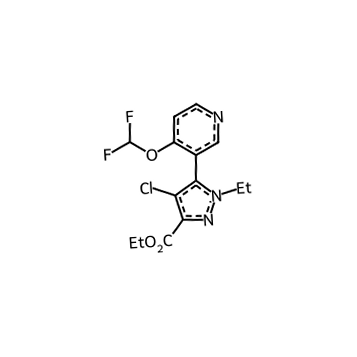 CCOC(=O)c1nn(CC)c(-c2cnccc2OC(F)F)c1Cl